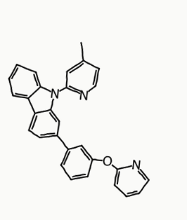 Cc1ccnc(-n2c3ccccc3c3ccc(-c4cccc(Oc5ccccn5)c4)cc32)c1